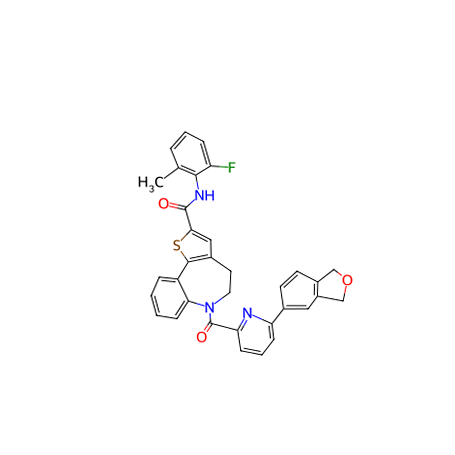 Cc1cccc(F)c1NC(=O)c1cc2c(s1)-c1ccccc1N(C(=O)c1cccc(-c3ccc4c(c3)COC4)n1)CC2